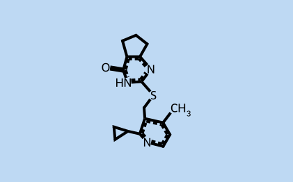 Cc1ccnc(C2CC2)c1CSc1nc2c(c(=O)[nH]1)CCC2